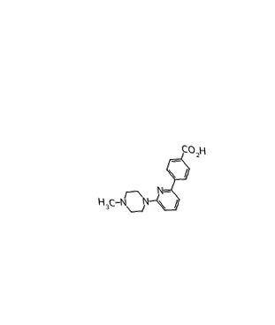 CN1CCN(c2cccc(-c3ccc(C(=O)O)cc3)n2)CC1